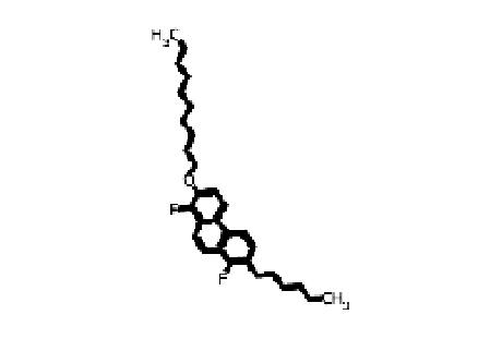 CCCCCCCCCCOc1ccc2c(ccc3c(F)c(CCCCCC)ccc32)c1F